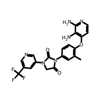 Cc1cc(N2C(=O)CN(c3cncc(C(F)(F)F)c3)C2=O)ccc1Oc1ccnc(N)c1N